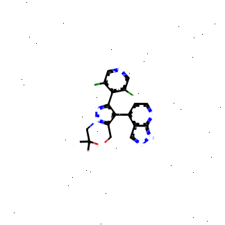 CC1(C)Cn2nc(-c3c(F)cncc3F)c(-c3ccnc4[nH]ncc34)c2CO1